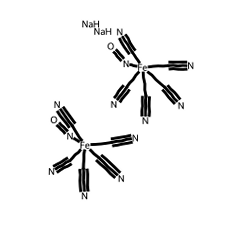 N#[C][Fe]([C]#N)([C]#N)([C]#N)([C]#N)[N]=O.N#[C][Fe]([C]#N)([C]#N)([C]#N)([C]#N)[N]=O.[NaH].[NaH]